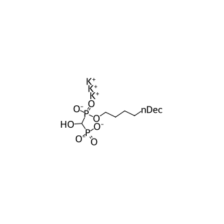 CCCCCCCCCCCCCCOP(=O)([O-])C(O)P(=O)([O-])[O-].[K+].[K+].[K+]